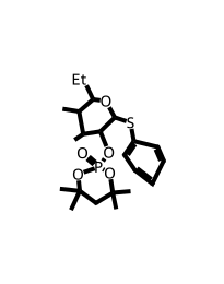 CCC1OC(Sc2ccccc2)C(OP2(=O)OC(C)(C)CC(C)(C)O2)C(C)C1C